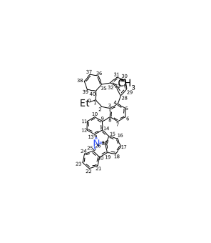 CCC1Cc2c(cccc2-c2cccc3c2c2cccc4c5ccccc5n3c42)-c2cccc(c2C)C2=CC=CCC21